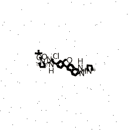 C[C@H]1CC[C@@H](c2nc3ccc4cc5c(cc4c3[nH]2)OCc2cc(-c3[nH]c([C@@H]4CC[C@H](C)N4C(=O)OC(C)(C)C)nc3Cl)ccc2-5)N1